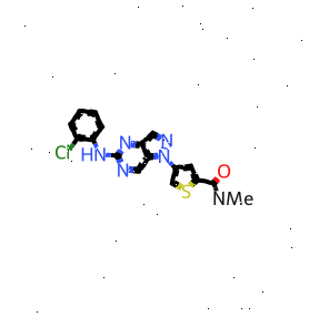 CNC(=O)c1cc(-n2ncc3nc(Nc4ccccc4Cl)ncc32)cs1